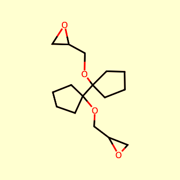 C1CCC(OCC2CO2)(C2(OCC3CO3)CCCC2)C1